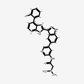 CN(C)CC(=O)Nc1cncc(-c2ccc3[nH]nc(-c4nc5c(-c6ccccc6F)ccnc5[nH]4)c3c2)c1